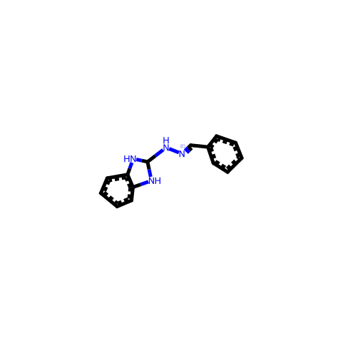 C(=N\NC1Nc2ccccc2N1)/c1ccccc1